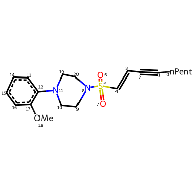 CCCCCC#CC=CS(=O)(=O)N1CCN(c2ccccc2OC)CC1